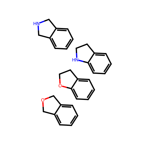 c1ccc2c(c1)CCN2.c1ccc2c(c1)CCO2.c1ccc2c(c1)CNC2.c1ccc2c(c1)COC2